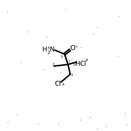 CC(C)(CCl)C(N)=O.Cl